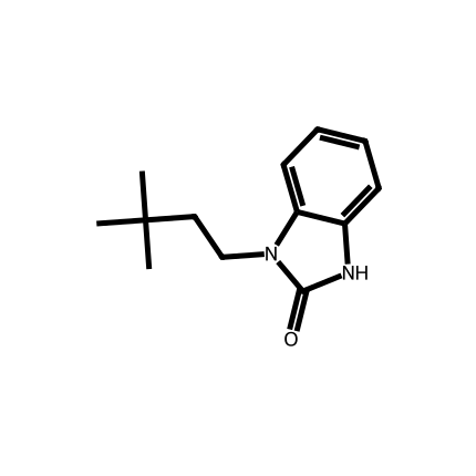 CC(C)(C)CCn1c(=O)[nH]c2ccccc21